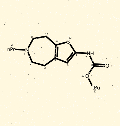 CCCN1CCc2cc(NC(=O)OC(C)(C)C)sc2CC1